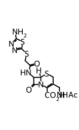 CC(=O)NCC1=C(C(=O)O)N2C(=O)C(NC(=O)CSc3nnc(N)s3)[C@@H]2SC1